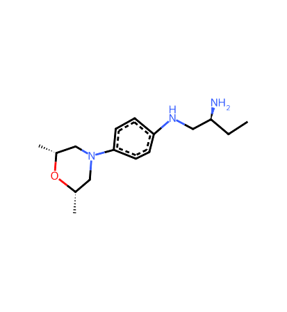 CC[C@H](N)CNc1ccc(N2C[C@@H](C)O[C@@H](C)C2)cc1